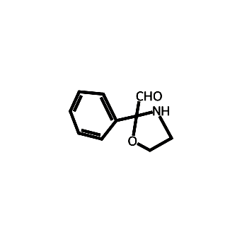 O=CC1(c2ccccc2)NCCO1